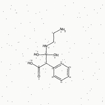 NCCNC(O)(O)C(C(=O)O)c1ccccc1